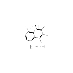 CCO.Cc1c(C)c(C)c2c(C(=O)O)cccc2c1C